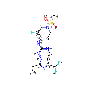 CC(C)Cc1nc(C(F)F)c2cnc(N[C@@H]3CCN(S(C)(=O)=O)C[C@H]3F)nn12